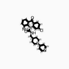 Nc1cccc(C(=O)c2ccc(Cl)cc2)c1NC(=O)NCC1CCN(c2ccncc2)CC1